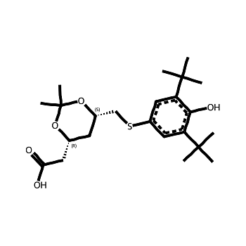 CC1(C)O[C@H](CSc2cc(C(C)(C)C)c(O)c(C(C)(C)C)c2)C[C@H](CC(=O)O)O1